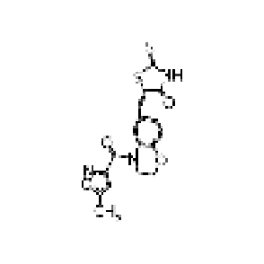 Cc1cc(C(=O)N2CCOc3ccc(C=C4SC(=S)NC4=O)cc32)no1